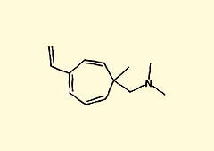 C=CC1=CC=CC(C)(CN(C)C)C=C1